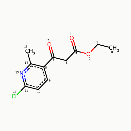 CCOC(=O)CC(=O)c1ccc(Cl)nc1C